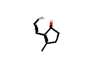 CCC/C=C\C1=C(C)CCC1=O